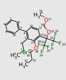 CCCc1c(-c2ccccc2)ccc(C(OCOC)(C(F)(F)F)C(F)(F)F)c1OC(Br)CC